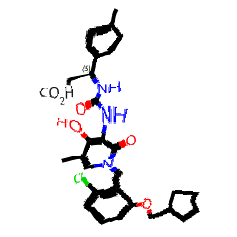 Cc1ccc([C@H](CC(=O)O)NC(=O)Nc2c(O)c(C)cn(Cc3c(Cl)cccc3OCC3CCCC3)c2=O)cc1